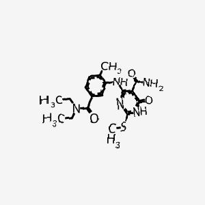 CCN(CC)C(=O)c1ccc(C)c(Nc2nc(SC)[nH]c(=O)c2C(N)=O)c1